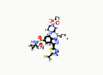 CC(C)S(=O)(=O)N1CCN(c2cc(S(=O)(=O)NC3(C#N)CC3)cc3c(-c4nnc(C(F)F)s4)nn(CC(F)(F)F)c23)CC1